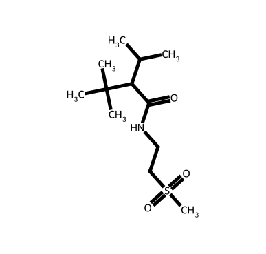 CC(C)C(C(=O)NCCS(C)(=O)=O)C(C)(C)C